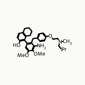 COc1cc(-c2c(O)ccc3c2CCCC3)c(Cc2ccc(OCCN(C)CC(C)C)cc2)c(N)c1OC